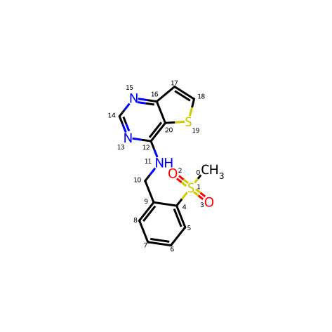 CS(=O)(=O)c1ccccc1CNc1ncnc2ccsc12